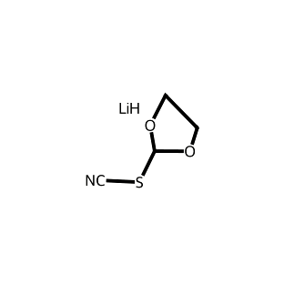 N#CSC1OCCO1.[LiH]